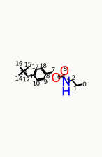 CCCNC(=O)OCc1ccc(CC(C)(C)C)cc1